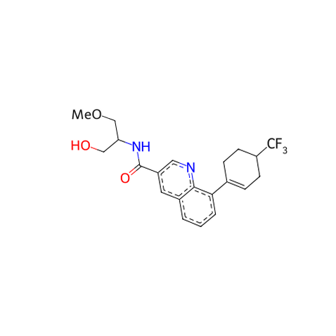 COCC(CO)NC(=O)c1cnc2c(C3=CCC(C(F)(F)F)CC3)cccc2c1